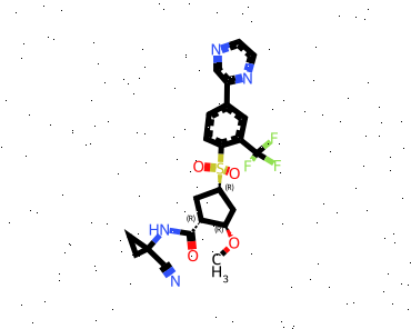 CO[C@@H]1C[C@H](S(=O)(=O)c2ccc(-c3cnccn3)cc2C(F)(F)F)C[C@H]1C(=O)NC1(C#N)CC1